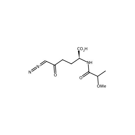 COC(C)C(=O)N[C@@H](CCC(=O)C=[N+]=[N-])C(=O)O